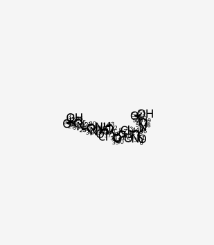 COc1nc(O[C@H]2CCc3c(-c4cccc(C(=O)Nc5ccc(CN6CCC[C@](C)(C(=O)O)C6)cn5)c4Cl)cccc32)c(Cl)cc1CN1CCC[C@](C)(C(=O)O)C1